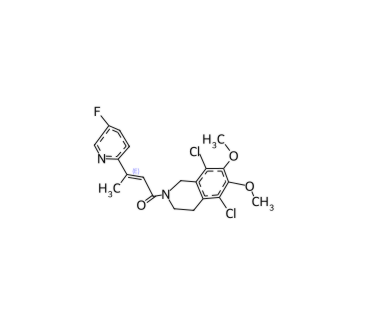 COc1c(Cl)c2c(c(Cl)c1OC)CN(C(=O)/C=C(\C)c1ccc(F)cn1)CC2